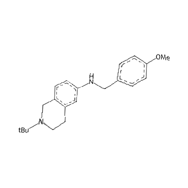 COc1ccc(CNc2ccc3c(c2)CCN(C(C)(C)C)C3)cc1